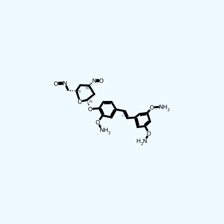 NOc1cc(/C=C/c2ccc(O[C@H]3C[C@@H](N=O)C[C@@H](CN=O)O3)c(ON)c2)cc(ON)c1